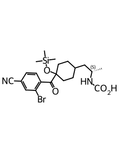 C[C@@H](CC1CCC(O[Si](C)(C)C)(C(=O)c2ccc(C#N)cc2Br)CC1)NC(=O)O